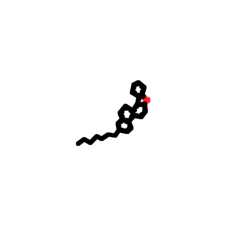 CCCCCCCc1ccc2c(ccc3c2ccc2oc4ccccc4c23)c1